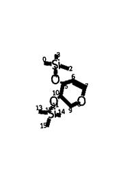 C[Si](C)(C)O[C@@H]1C=COC[C@H]1O[Si](C)(C)C